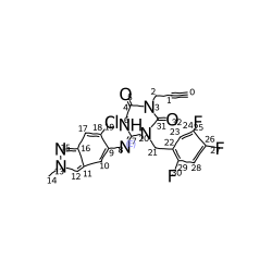 C#CCn1c(=O)[nH]/c(=N\c2cc3cn(C)nc3cc2Cl)n(Cc2cc(F)c(F)cc2F)c1=O